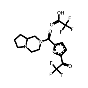 O=C(O)C(F)(F)F.O=C(c1ccc(C(=O)C(F)(F)F)s1)N1CCN2CCCC2C1